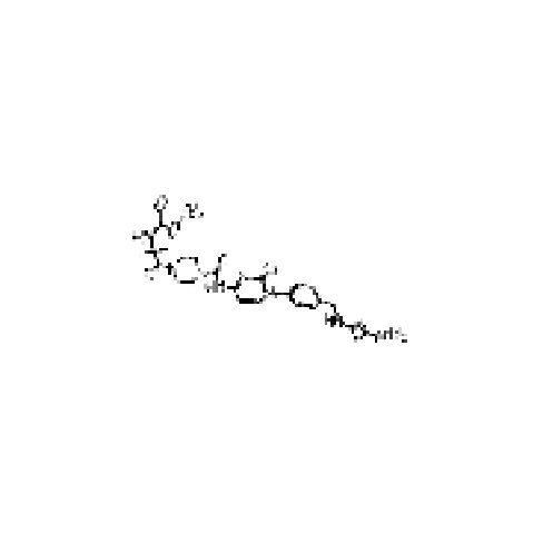 CC(C)(C)OC(=O)NC(C)(C)C(=O)N1CCN(C(=O)Nc2ccn(-c3ccc(CNC45CC(N)(C4)C5)cc3)c(=O)n2)CC1